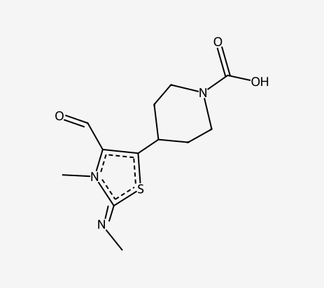 C/N=c1\sc(C2CCN(C(=O)O)CC2)c(C=O)n1C